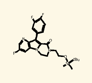 CC(C)(C)[Si](C)(C)OCCN1CCn2c(c(-c3ccc(F)c(F)c3)c3ncc(F)cc32)C1=O